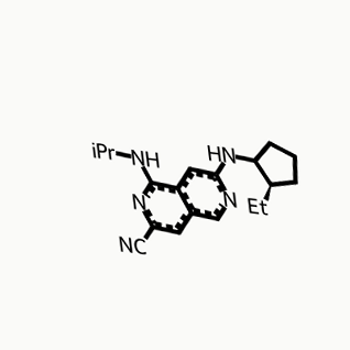 CC[C@@H]1CCCC1Nc1cc2c(NC(C)C)nc(C#N)cc2cn1